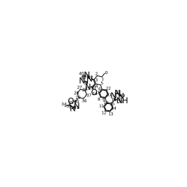 CCCc1c(Cc2ccc(-c3ccccc3-c3nnn[nH]3)cc2)c(=O)n([C@H]2CC[C@H](c3nnc(C)o3)CC2)c2ncnn12